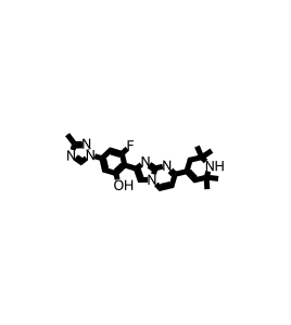 Cc1ncn(-c2cc(O)c(-c3cn4ccc(C5=CC(C)(C)NC(C)(C)C5)nc4n3)c(F)c2)n1